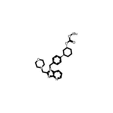 CC(C)(C)OC(=O)O[C@@H]1CCC[C@@H](c2ccc(Cn3c(CN4CCOCC4)nc4ncccc43)cc2)C1